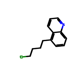 ClCCCCc1cccc2ncccc12